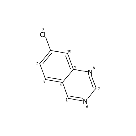 Clc1ccc2[c]ncnc2c1